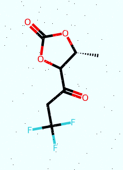 C[C@H]1OC(=O)OC1C(=O)CC(F)(F)F